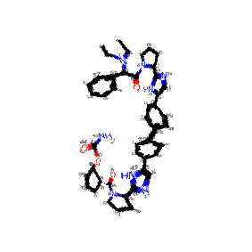 CCN(CC)C(C(=O)N1CCCC1c1ncc(-c2ccc(-c3ccc(-c4cnc(C5CCCN5C(=O)[C@@H]5CCC[C@H]5OC(N)=O)[nH]4)cc3)cc2)[nH]1)c1ccccc1